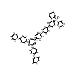 O=P(c1ccccc1)(c1ccccc1)c1ccc(-c2ccc(-c3ccc(-c4nc(-c5ccc(-c6ccccc6)cc5)nc(-c5ccc(-c6ccccc6)cc5)n4)cc3)cc2)cc1